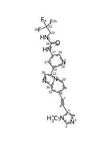 Cn1cncc1C#Cc1ccn2c(-c3cncc(NC(=O)NCC(F)(F)F)c3)cnc2c1